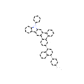 N#Cc1ccc(-c2ccc(-c3ccc4c(c3)c3ccccc3c3cc5c(cc43)c3ccccc3n5-c3ccccc3)c3ccccc23)cc1